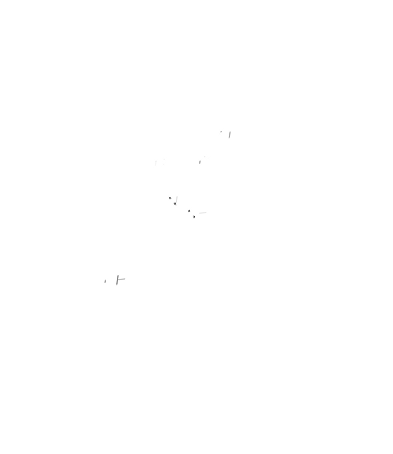 CC(C)(C)OC(=O)N(N)CCCO